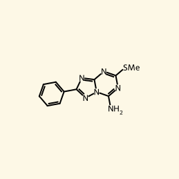 CSc1nc(N)n2nc(-c3ccccc3)nc2n1